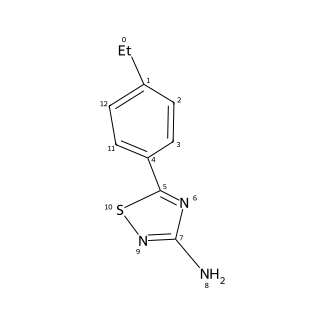 CCc1ccc(-c2nc(N)ns2)cc1